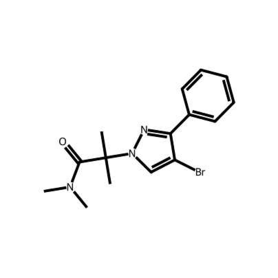 CN(C)C(=O)C(C)(C)n1cc(Br)c(-c2ccccc2)n1